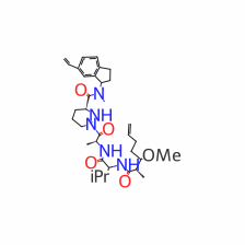 C=CCC[C@@H](OC)[C@@H](C)C(=O)N[C@H](C(=O)N[C@@H](C)C(=O)N1CCC[C@@H](C(=O)N(C)C2CCc3ccc(C=C)cc32)N1)C(C)C